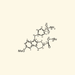 COc1cnc2c(c1)c1c(n2Cc2ccc(S(N)(=O)=O)cc2)CN(C(=O)OC(C)(C)C)CC1